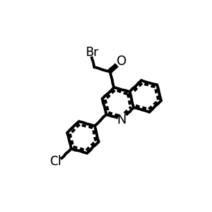 O=C(CBr)c1cc(-c2ccc(Cl)cc2)nc2ccccc12